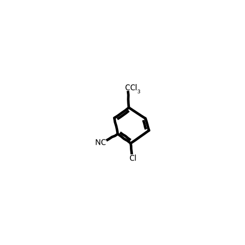 N#Cc1cc(C(Cl)(Cl)Cl)ccc1Cl